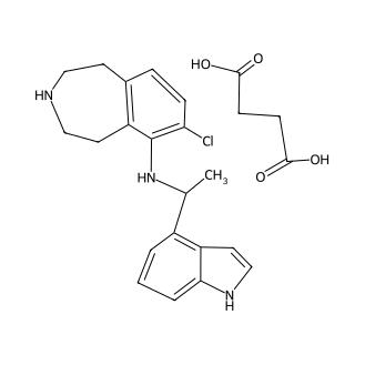 CC(Nc1c(Cl)ccc2c1CCNCC2)c1cccc2[nH]ccc12.O=C(O)CCC(=O)O